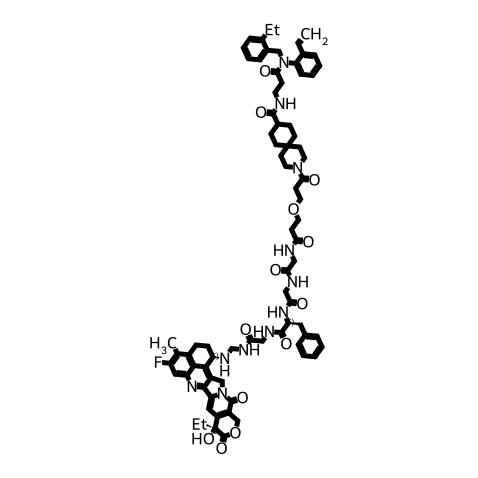 C=Cc1ccccc1N(Cc1ccccc1CC)C(=O)CCNC(=O)C1CCC2(CC1)CCN(C(=O)CCOCCC(=O)NCC(=O)NCC(=O)N[C@@H](Cc1ccccc1)C(=O)NCC(=O)NCN[C@H]1CCc3c(C)c(F)cc4nc5c(c1c34)Cn1c-5cc3c(c1=O)COC(=O)[C@]3(O)CC)CC2